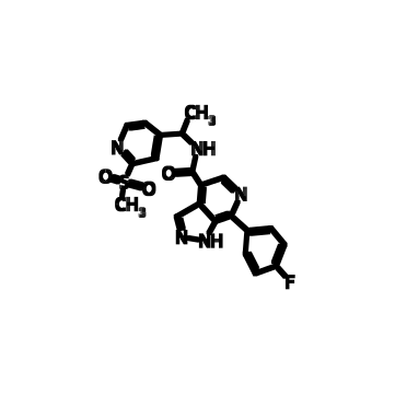 CC(NC(=O)c1cnc(-c2ccc(F)cc2)c2[nH]ncc12)c1ccnc(S(C)(=O)=O)c1